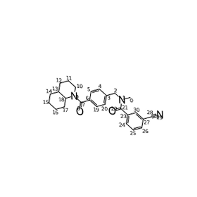 CN(Cc1ccc(C(=O)N2CCCC3CCCCC32)cc1)C(=O)c1cccc(C#N)c1